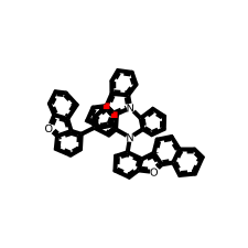 c1cc(-c2cccc3oc4ccccc4c23)cc(N(c2ccccc2-n2c3ccccc3c3ccccc32)c2cccc3oc4c5ccccc5ccc4c23)c1